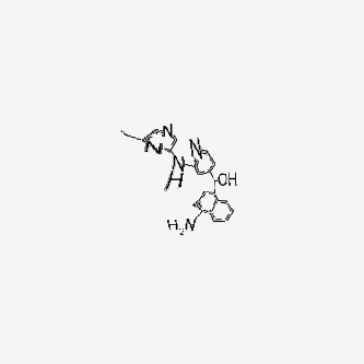 CCc1cncc(Nc2cc(C(O)c3ccc(N)c4ccccc34)ccn2)n1